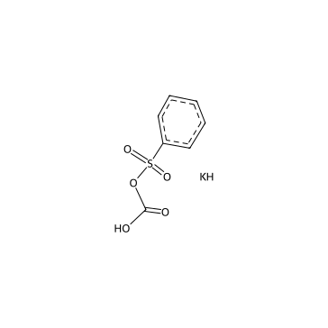 O=C(O)OS(=O)(=O)c1ccccc1.[KH]